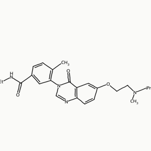 CCNC(=O)c1ccc(C)c(-n2cnc3ccc(OCCN(C)C(C)C)cc3c2=O)c1